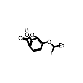 CCC(I)Oc1ccc2c(O)c1OC2=O